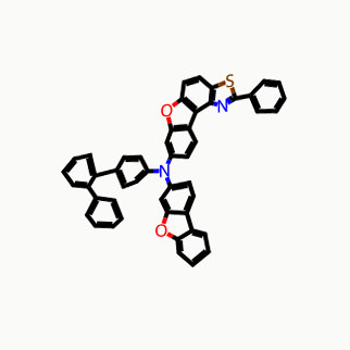 c1ccc(-c2nc3c(ccc4oc5cc(N(c6ccc(-c7ccccc7-c7ccccc7)cc6)c6ccc7c(c6)oc6ccccc67)ccc5c43)s2)cc1